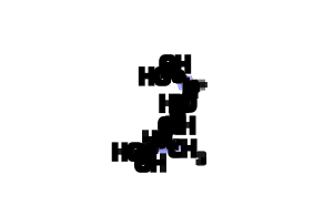 C\C=C/C=C(/C=C/c1ccc(N(CCO)CCO)cc1)NCCCC(=O)NCCSSCCNC(=O)CCC[n+]1ccccc1/C=C/c1ccc(N(CCO)CCO)cc1